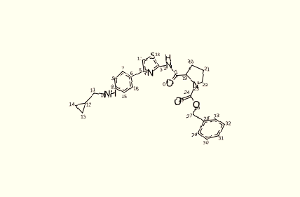 O=C(Nc1nc(-c2ccc(NCC3CC3)cc2)cs1)C1CCCN1C(=O)OCc1ccccc1